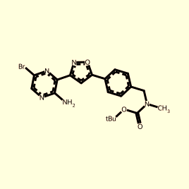 CN(Cc1ccc(-c2cc(-c3nc(Br)cnc3N)no2)cc1)C(=O)OC(C)(C)C